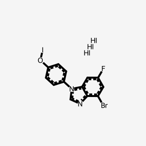 Fc1cc(Br)c2ncn(-c3ccc(OI)cc3)c2c1.I.I.I